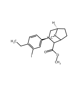 CCc1ccc([C@H]2C[C@H]3CCC(C2C(=O)OC)N3C)cc1I